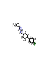 N#C/C=C/C=C/[C@H]1CC[C@H](c2ccc(F)cc2)CC1